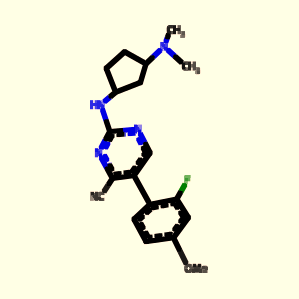 COc1ccc(-c2cnc(NC3CCC(N(C)C)C3)nc2C#N)c(F)c1